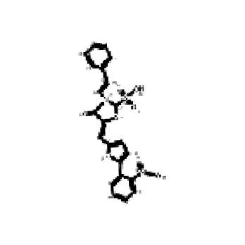 O=C1C(=Cc2ccc(-c3ccccc3[N+](=O)[O-])o2)SC(S(=O)(=O)O)N1C=Cc1ccccc1